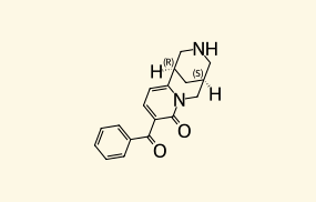 O=C(c1ccccc1)c1ccc2n(c1=O)C[C@@H]1CNC[C@H]2C1